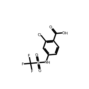 O=C(O)c1ccc(NS(=O)(=O)C(F)(F)F)cc1Cl